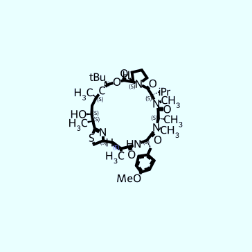 COc1ccc(C[C@@H]2NC(=O)/C(C)=C/[C@H]3CSC(=N3)[C@@H](C)[C@@H](O)C[C@H](C)C[C@@H](C(C)(C)C)OC(=O)[C@@H]3CCCN3C(=O)[C@H](C(C)C)N(C)C(=O)[C@H](C)N(C)C2=O)cc1